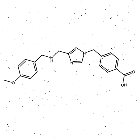 COc1ccc(CNCc2cn(Cc3ccc(C(=O)O)cc3)cn2)cc1